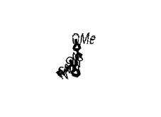 COc1ccc(-c2csc(N3N=C(c4ccccc4)/C(=N\Nc4nccs4)C3=O)n2)cc1